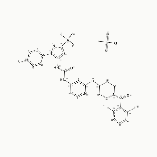 CS(=O)(=O)O.Cc1ccc(-n2nc(C(C)(C)C)cc2NC(=O)Nc2ccnc(OC3CCN(C(=O)c4c(F)cccc4F)CC3)c2)cc1